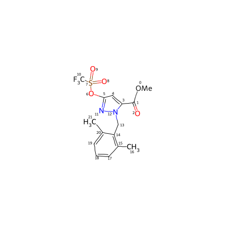 COC(=O)c1cc(OS(=O)(=O)C(F)(F)F)nn1Cc1c(C)cccc1C